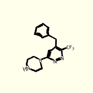 FC(F)(F)c1nnc(N2CCNCC2)cc1Cc1ccccc1